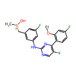 CCOc1cc(F)ccc1-c1nc(Nc2cc(F)cc(C[SH](C)O)c2)ncc1F